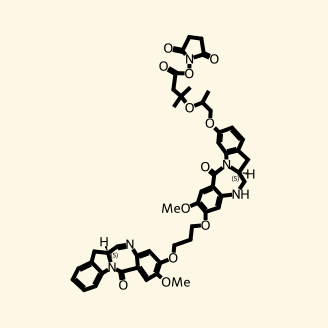 COc1cc2c(cc1OCCCOc1cc3c(cc1OC)C(=O)N1c4cc(OCC(C)OC(C)(C)CC(=O)ON5C(=O)CCC5=O)ccc4C[C@H]1CN3)N=C[C@@H]1Cc3ccccc3N1C2=O